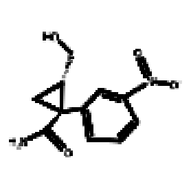 NC(=O)[C@@]1(c2cccc([N+](=O)[O-])c2)C[C@@H]1CO